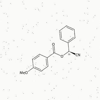 COc1ccc(C(=O)O[C@H](C#N)c2ccccc2)cc1